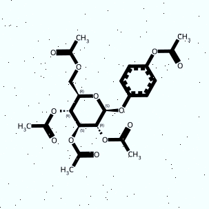 CC(=O)OC[C@H]1O[C@@H](Oc2ccc(OC(C)=O)cc2)[C@H](OC(C)=O)[C@@H](OC(C)=O)[C@@H]1OC(C)=O